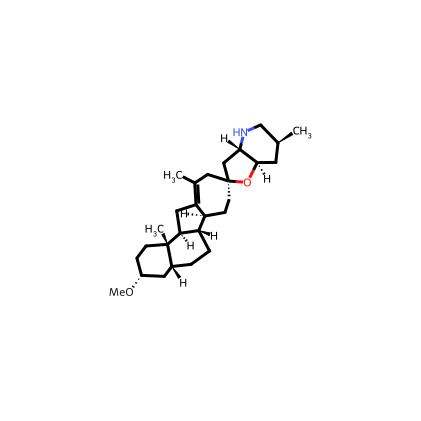 CO[C@@H]1CC[C@@]2(C)[C@H](CC[C@H]3[C@@H]4CC[C@]5(CC(C)=C4C[C@@H]32)C[C@@H]2NC[C@@H](C)C[C@H]2O5)C1